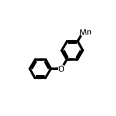 [Mn][c]1ccc(Oc2ccccc2)cc1